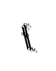 CCCCCCCCCCCCCCCC(=O)OCCCCCCCCCCCC.CCCCCCCCCCCCCCCCOC(=O)CCCCCCC